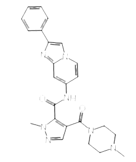 CN1CCN(C(=O)c2cnn(C)c2C(=O)Nc2ccn3cc(-c4ccccc4)nc3c2)CC1